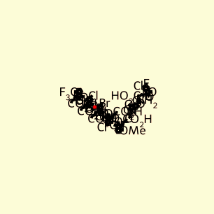 COc1cccc2c1N(CCCC(=O)O)C(=O)C2=O.Cc1cc(Cl)cc2c1N(CCCC(=O)O)C(=O)C2=O.NS(=O)(=O)c1ccc2c(c1)C(=O)C(=O)N2CCCC(=O)O.O=C(O)CCCN1C(=O)C(=O)c2cc(Br)cc(Br)c21.O=C(O)CCCN1C(=O)C(=O)c2cc(Cl)cc(Cl)c21.O=C(O)CCCN1C(=O)C(=O)c2cc(F)c(Cl)cc21.O=C(O)CCCN1C(=O)C(=O)c2cccc(C(F)(F)F)c21